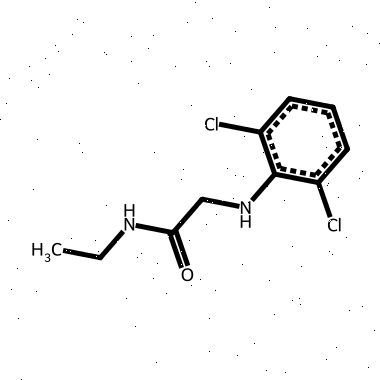 CCNC(=O)CNc1c(Cl)cccc1Cl